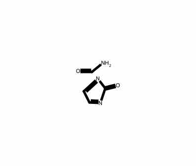 NC=O.O=C1N=CC=N1